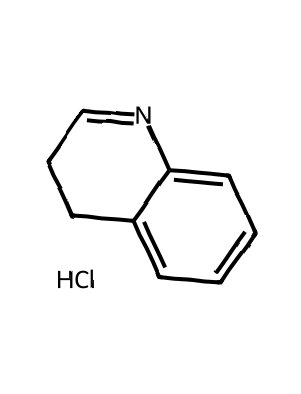 C1=Nc2ccccc2CC1.Cl